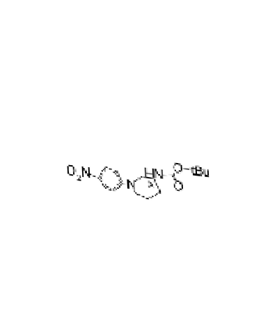 CC(C)(C)OC(=O)N[C@H]1CCCN(c2ccc([N+](=O)[O-])cc2)C1